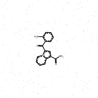 NC(=O)c1cc(C(=O)c2ccccc2N)n2ccccc12